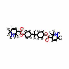 CN1C(C)(C)C=CC(C(=O)OC2CCC(C(C)(C)C3CCC(OC(=O)C4C=CC(C)(C)N(C)C4(C)C)CC3)CC2)C1(C)C